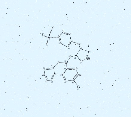 FC(F)(F)c1ccc(OC2CNCC2CN(Cc2ccccc2)c2ccc(Cl)cc2)cc1